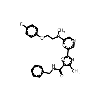 Cc1nc(-c2cncc(N(C)CCOc3ccc(F)cc3)n2)sc1C(=O)NCc1ccccc1